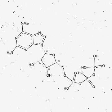 CNc1nc(N)nc2c1ncn2[C@@H]1O[C@H](COP(=O)(O)OP(=O)(O)OP(=O)(O)O)[C@H](O)[C@@H]1O